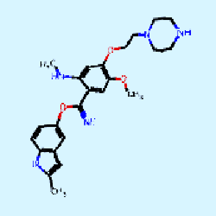 CNc1cc(OCCN2CCNCC2)c(OC)cc1C(=N)Oc1ccc2[nH]c(C)cc2c1